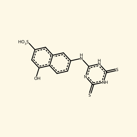 O=S(=O)(O)c1cc(O)c2ccc(Nc3nc(=S)[nH]c(=S)[nH]3)cc2c1